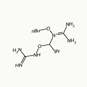 CCCCO[N+](=C(N)N)C(ONC(=N)N)C(C)C